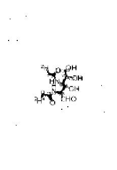 [2H]CC(=O)N[C@@H]([C@H](O)[C@H](C=O)NC(=O)C[2H])[C@H](O)CO